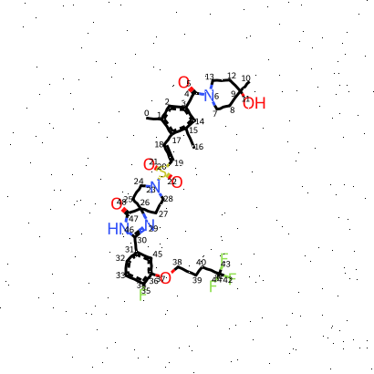 Cc1cc(C(=O)N2CCC(C)(O)CC2)cc(C)c1/C=C/S(=O)(=O)N1CCC2(CC1)N=C(c1ccc(F)c(OCCCC(F)(F)F)c1)NC2=O